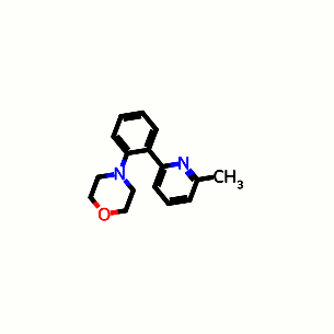 Cc1cccc(-c2ccccc2N2CCOCC2)n1